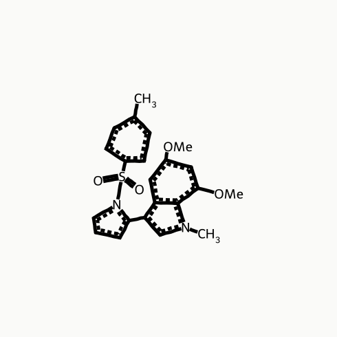 COc1cc(OC)c2c(c1)c(-c1cccn1S(=O)(=O)c1ccc(C)cc1)cn2C